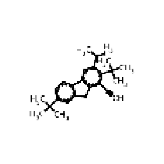 C#Cc1c2c(cc(C(C)C)c1C(C)(C)C)-c1ccc(C(C)(C)C)cc1[CH]2